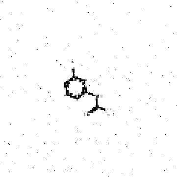 O=C(Nc1cccc(F)c1)C(F)(F)F